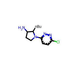 CCCCC1C(N)CCN1c1ccc(Cl)nn1